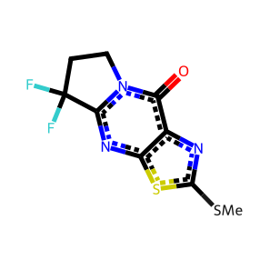 CSc1nc2c(=O)n3c(nc2s1)C(F)(F)CC3